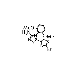 CCc1nc(-c2nnc(N)n2-c2c(OC)cccc2OC)cs1